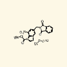 CC(C)(C)OC(=O)n1ccc2cc(CN3C(=O)c4ccccc4C3=O)cc([N+](=O)[O-])c21.CCOC=O